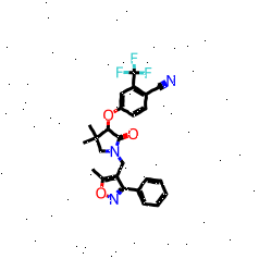 Cc1onc(-c2ccccc2)c1CN1CC(C)(C)C(Oc2ccc(C#N)c(C(F)(F)F)c2)C1=O